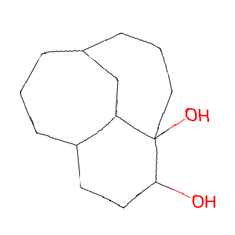 OC1CCC2CCCC3CCCC1(O)C2C3